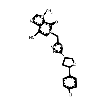 Cn1cnc2c(C#N)cn(Cc3nc([C@@H]4CO[C@@H](c5ccc(Cl)cc5)C4)no3)c(=O)c21